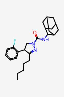 CCCCCC1=NN(C(=O)NC2C3CC4CC(C3)CC2C4)CC1c1ccccc1F